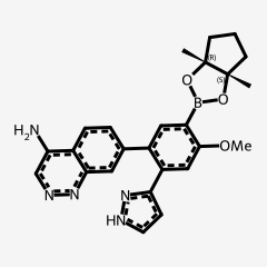 COc1cc(-c2cc[nH]n2)c(-c2ccc3c(N)cnnc3c2)cc1B1O[C@]2(C)CCC[C@]2(C)O1